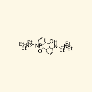 CC[N+](CC)(CC)CCNc1cccc2c1C(=O)c1cccc(NCC[N+](CC)(CC)CC)c1C2=O